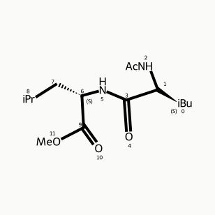 CC[C@H](C)C(NC(C)=O)C(=O)N[C@@H](CC(C)C)C(=O)OC